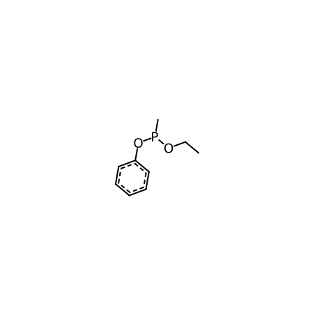 CCOP(C)Oc1ccccc1